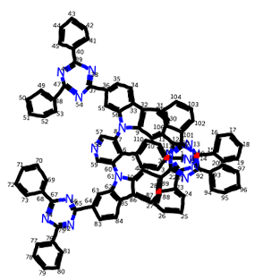 N#Cc1ccc(-c2c(-n3c4cc(-c5nc(-c6ccccc6)nc(-c6ccccc6)n5)ccc4c4ccc(-c5nc(-c6ccccc6)nc(-c6ccccc6)n5)cc43)cncc2-n2c3cc(-c4nc(-c5ccccc5)nc(-c5ccccc5)n4)ccc3c3ccc(-c4nc(-c5ccccc5)nc(-c5ccccc5)n4)cc32)cc1